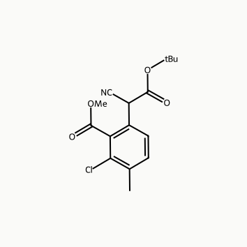 COC(=O)c1c(C(C#N)C(=O)OC(C)(C)C)ccc(C)c1Cl